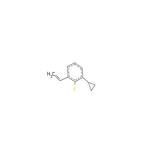 C=Cc1cccc(C2CC2)c1F